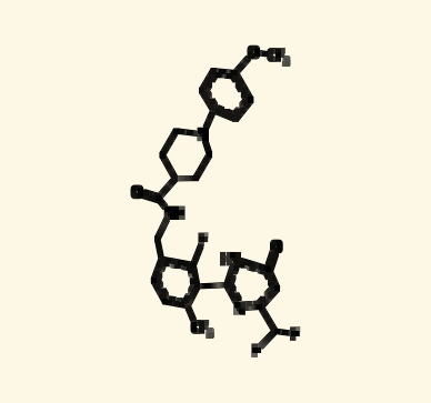 O=C(NCc1ccc(C(F)(F)F)c(-c2nc(C(F)F)cc(=O)[nH]2)c1F)C1CCN(c2ccc(OC(F)(F)F)cc2)CC1